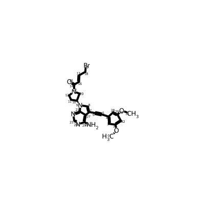 COc1cc(C#Cc2cn([C@H]3CCN(C(=O)/C=C/CBr)C3)c3ncnc(N)c23)cc(OC)c1